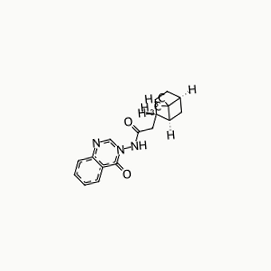 CC1(C)[C@H]2CC[C@@H](CC(=O)Nn3cnc4ccccc4c3=O)[C@@H]1C2